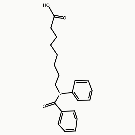 O=C(O)CCCCCCCN(C(=O)c1ccccc1)c1ccccc1